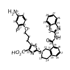 Nc1ccc(OCCCc2sc(N3CCc4cccc(C(=O)Nc5nc6ccccc6s5)c4C3)nc2C(=O)O)c(F)c1